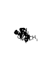 CN(Cc1ccn(-c2ncccc2C(=O)NC(Cc2ccccc2)C(=O)C(N)=O)n1)C1CCCCC1